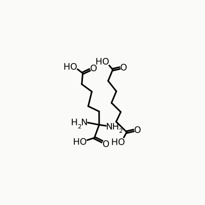 NC(N)(CCCCC(=O)O)C(=O)O.O=C(O)CCCCCC(=O)O